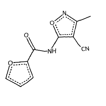 Cc1noc(NC(=O)c2ccco2)c1C#N